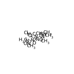 COc1nc(N(C)C)ncc1-c1nc2c(n1C(C)C)C(c1ccc(Cl)cc1)N(C1CN(C)C(=O)N(C)C1)C2=O